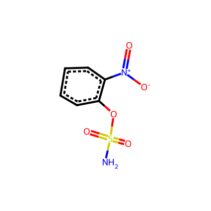 NS(=O)(=O)Oc1ccccc1[N+](=O)[O-]